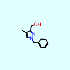 Cc1cn(Cc2ccccc2)nc1CO